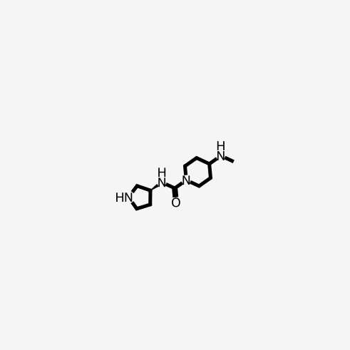 CNC1CCN(C(=O)N[C@H]2CCNC2)CC1